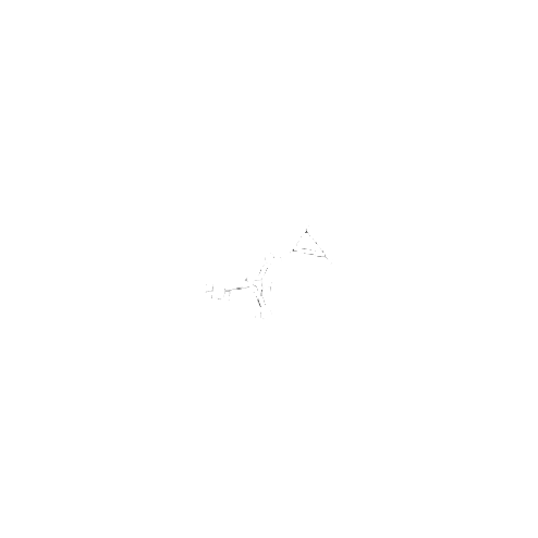 C1=CC1.O=[SH](=O)O